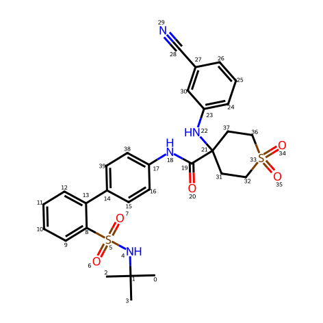 CC(C)(C)NS(=O)(=O)c1ccccc1-c1ccc(NC(=O)C2(Nc3cccc(C#N)c3)CCS(=O)(=O)CC2)cc1